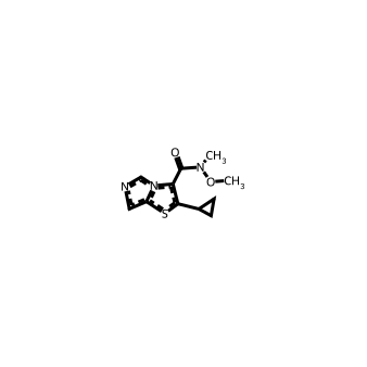 CON(C)C(=O)c1c(C2CC2)sc2cncn12